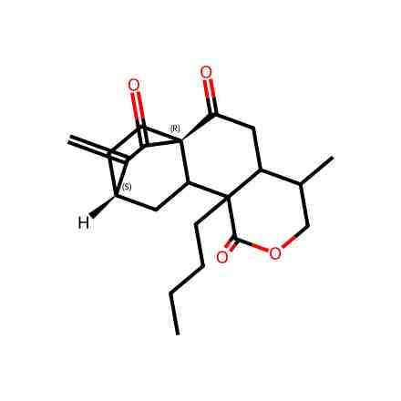 C=C1C(=O)[C@]23CC[C@H]1CC2C1(CCCC)C(=O)OCC(C)C1CC3=O